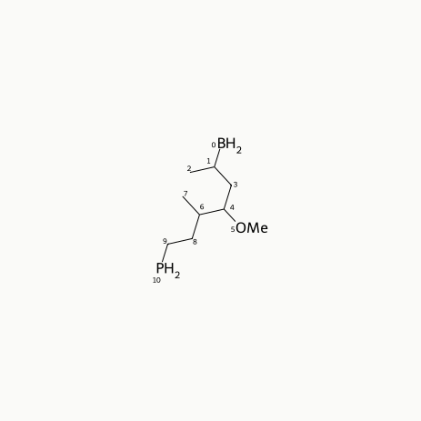 BC(C)CC(OC)C(C)CCP